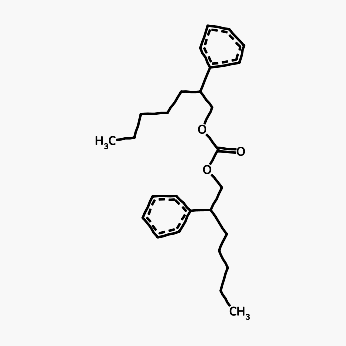 CCCCCC(COC(=O)OCC(CCCCC)c1ccccc1)c1ccccc1